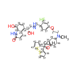 CN(CCOc1ccc(CNC[C@H](O)c2ccc(O)c3[nH]c(=O)ccc23)cc1)[C@H]1CC[C@H](OC(C(=O)O)(c2cccs2)c2cccs2)CC1.F